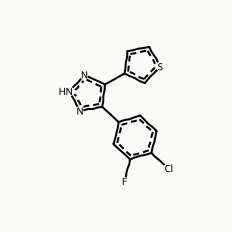 Fc1cc(-c2n[nH]nc2-c2ccsc2)ccc1Cl